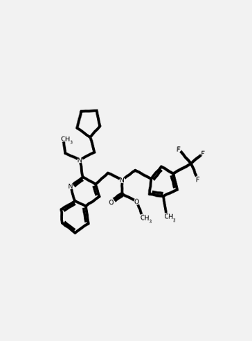 CCN(CC1CCCC1)c1nc2ccccc2cc1CN(Cc1cc(C)cc(C(F)(F)F)c1)C(=O)OC